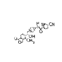 Cc1c([C@H](O)CN2CC3C(C2)C3NC(=O)c2ccc(C#N)cn2)ccc2c1COC2=O